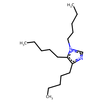 CCCCCc1ncn(CCCCC)c1CCCCC